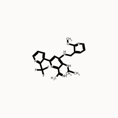 COc1ncccc1CNc1cc(-c2cccnc2C(F)(F)F)nc(C(C)=N)c1NC(C)C